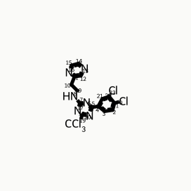 Clc1ccc(-c2nc(NCCc3cnccn3)nc(C(Cl)(Cl)Cl)n2)cc1Cl